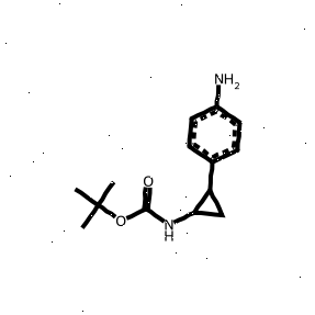 CC(C)(C)OC(=O)NC1CC1c1ccc(N)cc1